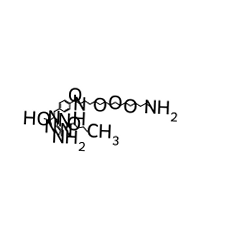 CCCCOc1nc(N)c2nc(O)n(Cc3ccc(C(=O)NCCCOCCOCCOCCCN)cc3)c2n1